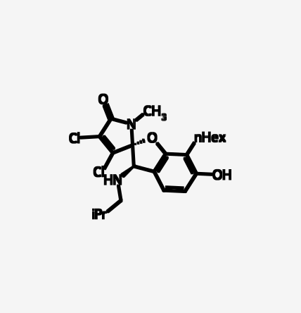 CCCCCCc1c(O)ccc2c1O[C@@]1(C(Cl)=C(Cl)C(=O)N1C)[C@@H]2NCC(C)C